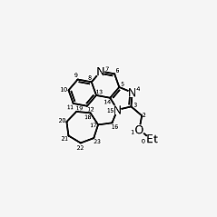 CCOCc1nc2cnc3ccccc3c2n1CC1CCCCCC1